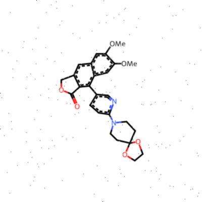 COc1cc2cc3c(c(-c4ccc(N5CCC6(CC5)OCCO6)nc4)c2cc1OC)C(=O)OC3